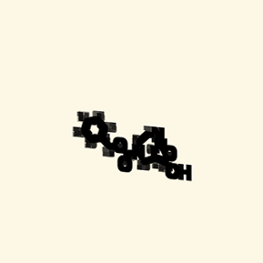 C/C1=C(/O)O/N=N/CCN(C(=O)OCc2ccccc2)C1